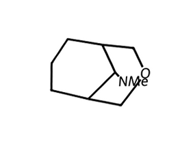 CNC1C2CCCC1COC2